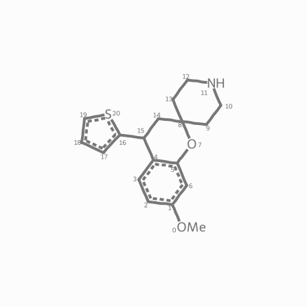 COc1ccc2c(c1)OC1(CCNCC1)CC2c1cccs1